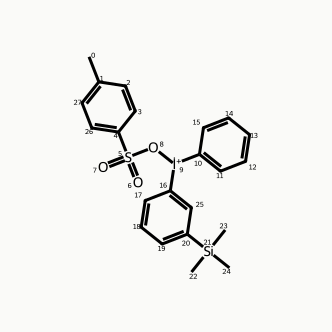 Cc1ccc(S(=O)(=O)O[I+](c2ccccc2)c2cccc([Si](C)(C)C)c2)cc1